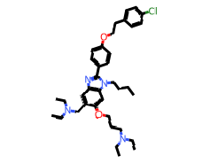 CCCCn1c(-c2ccc(OCCc3ccc(Cl)cc3)cc2)nc2cc(CN(CC)CC)c(OCCCN(CC)CC)cc21